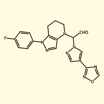 O=CC(N1CCCc2c1cnn2-c1ccc(F)cc1)n1cc(-c2ncon2)cn1